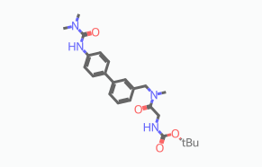 CN(C)C(=O)Nc1ccc(-c2cccc(CN(C)C(=O)CNC(=O)OC(C)(C)C)c2)cc1